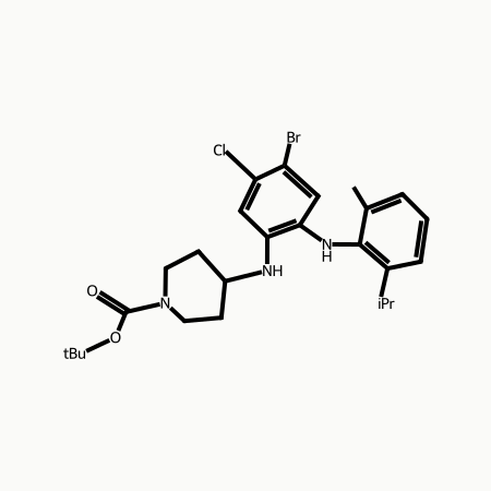 Cc1cccc(C(C)C)c1Nc1cc(Br)c(Cl)cc1NC1CCN(C(=O)OC(C)(C)C)CC1